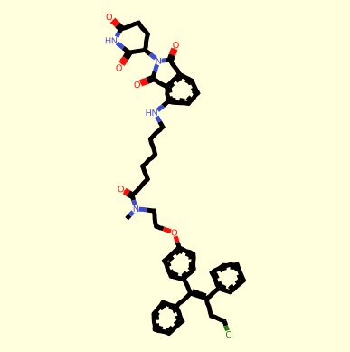 CN(CCOc1ccc(C(=C(CCCl)c2ccccc2)c2ccccc2)cc1)C(=O)CCCCCNc1cccc2c1C(=O)N(C1CCC(=O)NC1=O)C2=O